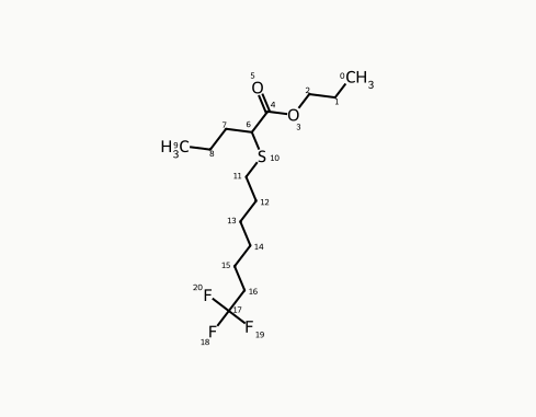 CCCOC(=O)C(CCC)SCCCCCCC(F)(F)F